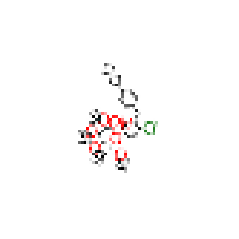 C[Si](C)(C)OC[C@H]1OC(O)(c2ccc(Cl)c(Cc3ccc(C4CC5(CCC5)C4)cc3)c2)[C@H](O[Si](C)(C)C)[C@@H](O[Si](C)(C)C)[C@@H]1O[Si](C)(C)C